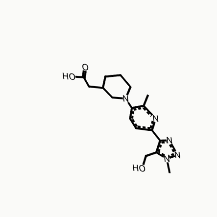 Cc1nc(-c2nnn(C)c2CO)ccc1N1CCCC(CC(=O)O)C1